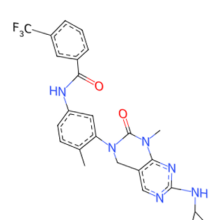 Cc1ccc(NC(=O)c2cccc(C(F)(F)F)c2)cc1N1Cc2cnc(NC3CC3)nc2N(C)C1=O